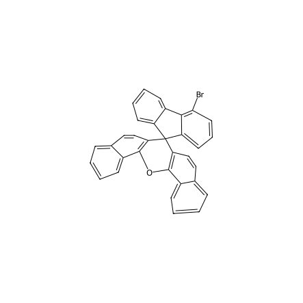 Brc1cccc2c1-c1ccccc1C21c2ccc3ccccc3c2Oc2c1ccc1ccccc21